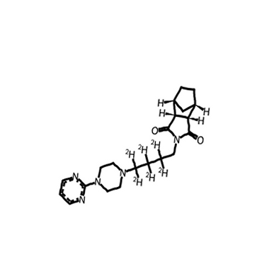 [2H]C([2H])(CN1C(=O)[C@@H]2[C@@H]3CC[C@@H](C3)[C@@H]2C1=O)C([2H])([2H])C([2H])([2H])N1CCN(c2ncccn2)CC1